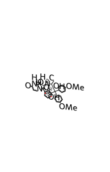 C=CC(N)C(O)([C@H]1O[C@@H](n2ccc(=O)[nH]c2=O)C[C@@H]1O)C(c1ccccc1)(c1ccc(OC)cc1)c1ccc(OC)cc1